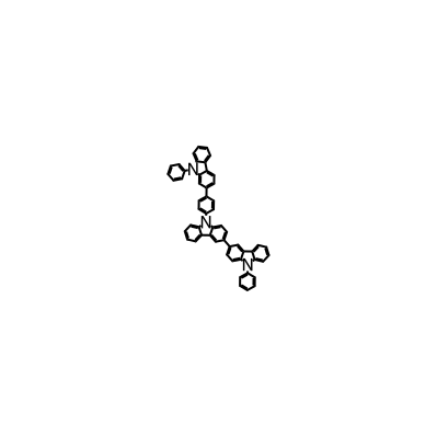 c1ccc(-n2c3ccccc3c3cc(-c4ccc5c(c4)c4ccccc4n5-c4ccc(-c5ccc6c7ccccc7n(-c7ccccc7)c6c5)cc4)ccc32)cc1